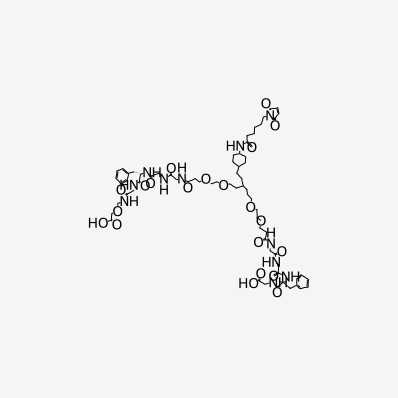 O=C(O)CNC(=O)[C@H](Cc1ccccc1)NC(=O)CNC(=O)CNC(=O)CCOCCOCCCC(CCOCCOCCC(=O)NCC(=O)NCC(=O)N[C@@H](Cc1ccccc1)C(=O)NCC(=O)NCOCC(=O)O)CCC1CCC(NC(=O)CCCCCN2C(=O)C=CC2=O)CC1